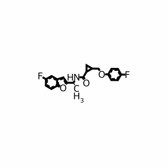 C[C@@H](NC(=O)C1CC1COc1ccc(F)cc1)c1cc2cc(F)ccc2o1